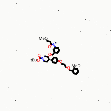 COCCC(=O)N(C)c1cccc(COC2CN(C(=O)OC(C)(C)C)CCC2c2ccc(OCCCOCc3ccccc3OC)cc2)c1